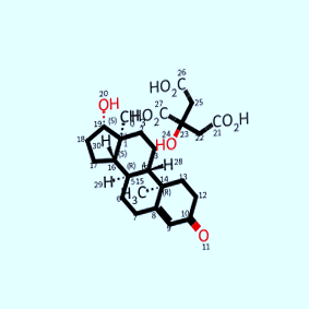 C[C@]12CC[C@H]3[C@@H](CCC4=CC(=O)CC[C@@]43C)[C@@H]1CC[C@@H]2O.O=C(O)CC(O)(CC(=O)O)C(=O)O